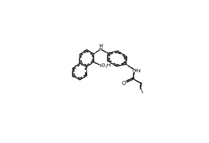 O=C(CI)Nc1ccc(Nc2ccc3ccccc3c2S(=O)(=O)O)cc1